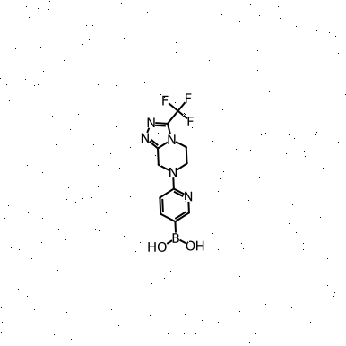 OB(O)c1ccc(N2CCn3c(nnc3C(F)(F)F)C2)nc1